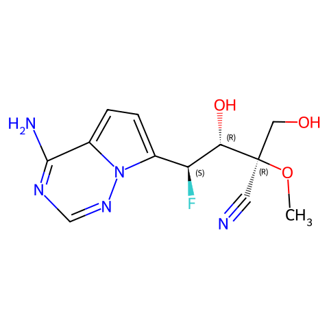 CO[C@](C#N)(CO)[C@@H](O)[C@@H](F)c1ccc2c(N)ncnn12